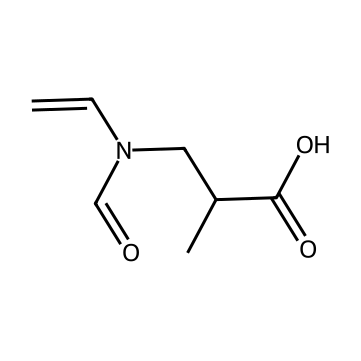 C=CN(C=O)CC(C)C(=O)O